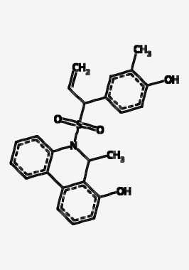 C=CC(c1ccc(O)c(C)c1)S(=O)(=O)N1c2ccccc2-c2cccc(O)c2C1C